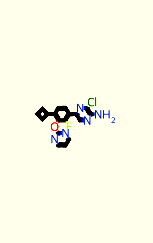 Nc1ncc(-c2ccc(C3CCC3)c(Oc3ncccn3)c2F)nc1Cl